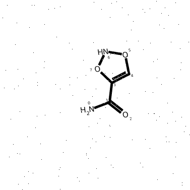 NC(=O)C1=CONO1